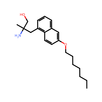 CCCCCCCOc1ccc2c(CC(C)(N)CO)cccc2c1